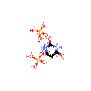 O=P(O)(O)O.O=P(O)(O)O.O=c1cc[nH]c(=O)[nH]1